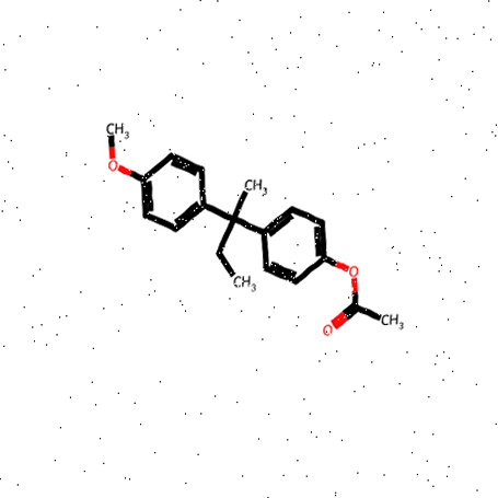 CCC(C)(c1ccc(OC)cc1)c1ccc(OC(C)=O)cc1